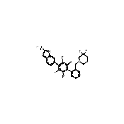 Cc1nc2ccc(-c3c(F)c(F)c(-c4ccccc4CN4CCCC(F)(F)C4)c(F)c3F)cc2[nH]1